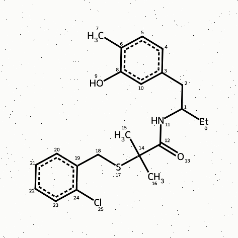 CCC(Cc1ccc(C)c(O)c1)NC(=O)C(C)(C)SCc1ccccc1Cl